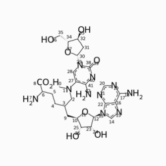 CN(CC(CCC(N)C(=O)O)C[C@H]1O[C@@H](n2cnc3c(N)ncnc32)[C@H](O)[C@@H]1O)c1cn([C@H]2C[C@H](O)[C@@H](CO)O2)c(=O)nc1N